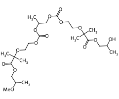 COC(C)COC(=O)C(C)(C)OCCOC(=O)OC(C)COC(=O)OCCOC(C)(C)C(=O)OCC(C)O